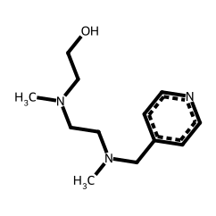 CN(CCO)CCN(C)Cc1ccncc1